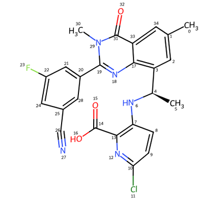 Cc1cc([C@@H](C)Nc2ccc(Cl)nc2C(=O)O)c2nc(-c3cc(F)cc(C#N)c3)n(C)c(=O)c2c1